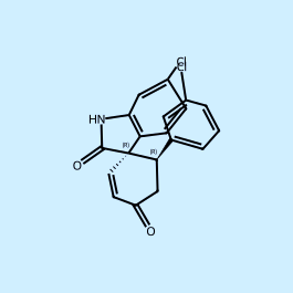 O=C1C=C[C@@]2(C(=O)Nc3cc(Cl)ccc32)[C@@H](c2cccc(Cl)c2)C1